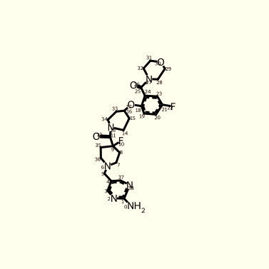 Nc1ncc(CN2CCC(F)(C(=O)N3CCC(Oc4ccc(F)cc4C(=O)N4CCOCC4)CC3)CC2)cn1